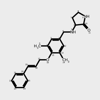 Cc1cc(CNC2CCNC2=O)cc(C)c1OCC=Cc1ccccc1